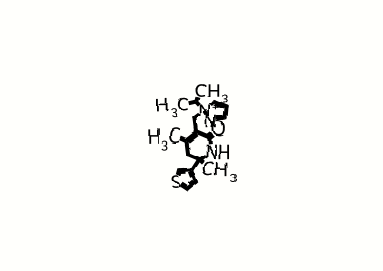 CC1=C(C[N+]2(C(C)C)C=CC=N2)C(=O)NC(C)(c2ccsc2)C1